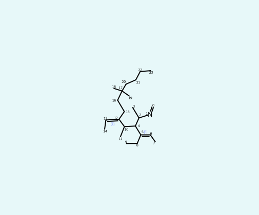 C=NC(C)C(/C(=C/C)CC)C(C)/C(=C\C)CCC(C)(C)CCCC